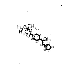 CC(C)(C)OC(=O)N1CCC(C(O)CN2CCCC2)CC1